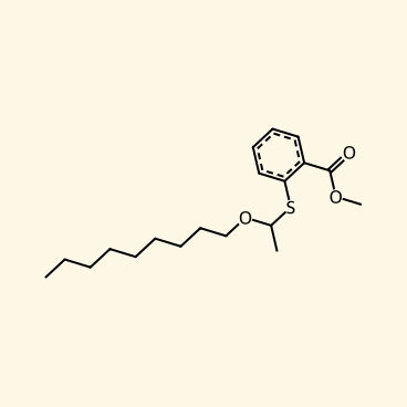 CCCCCCCCCOC(C)Sc1ccccc1C(=O)OC